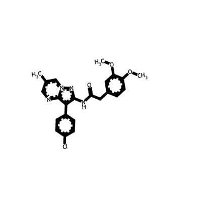 COc1ccc(CC(=O)Nc2nn3cc(C)cnc3c2-c2ccc(Cl)cc2)cc1OC